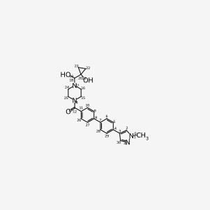 Cn1cc(-c2ccc(-c3ccc(C(=O)N4CCN(C(O)C5(O)CC5)CC4)cc3)cc2)cn1